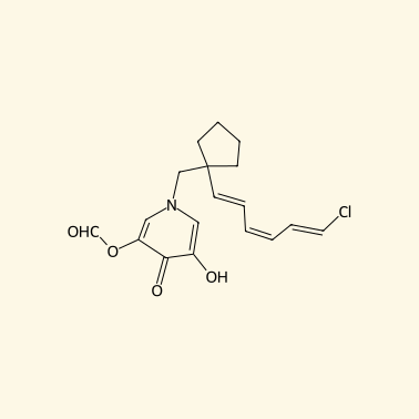 O=COc1cn(CC2(/C=C/C=C\C=C\Cl)CCCC2)cc(O)c1=O